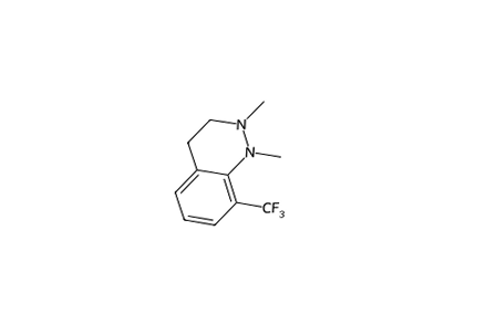 CN1CCc2cccc(C(F)(F)F)c2N1C